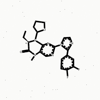 CC[C@@H]1C(=O)N(C)c2cnc(-n3ccnc3-c3ccc(F)c(F)c3)nc2N1C1CCCO1